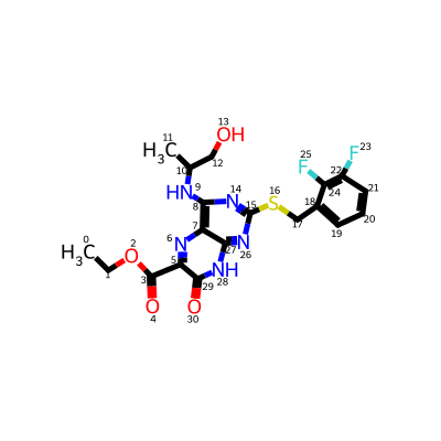 CCOC(=O)c1nc2c(NC(C)CO)nc(SCc3cccc(F)c3F)nc2[nH]c1=O